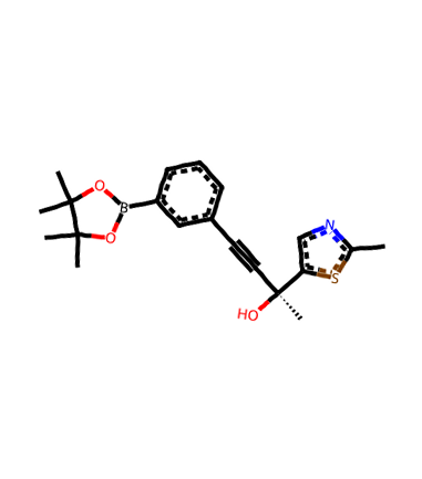 Cc1ncc([C@@](C)(O)C#Cc2cccc(B3OC(C)(C)C(C)(C)O3)c2)s1